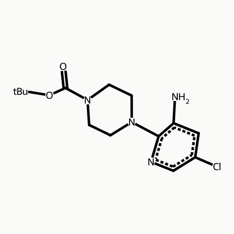 CC(C)(C)OC(=O)N1CCN(c2ncc(Cl)cc2N)CC1